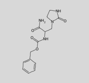 NC(=O)C(CN1CCNC1=O)NC(=O)OCc1ccccc1